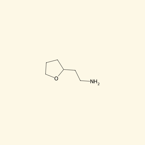 NCCC1CCCO1